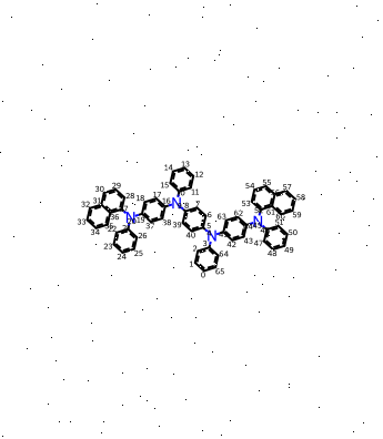 c1ccc(N(c2ccc(N(c3ccccc3)c3ccc(N(c4ccccc4)c4cccc5ccccc45)cc3)cc2)c2ccc(N(c3ccccc3)c3cccc4ccccc34)cc2)cc1